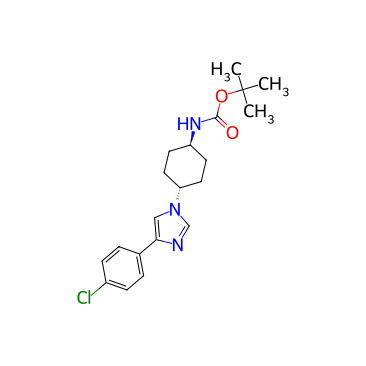 CC(C)(C)OC(=O)N[C@H]1CC[C@H](n2cnc(-c3ccc(Cl)cc3)c2)CC1